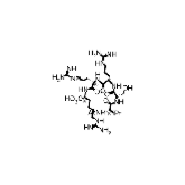 CC(=O)N[C@H](C(=O)N[C@@H](CO)C(=O)N[C@@H](CCCNC(=N)N)C(=O)N[C@@H](CCCNC(=N)N)C(=O)N[C@@H](CCCCNC(=N)N)C(=O)O)C(C)C